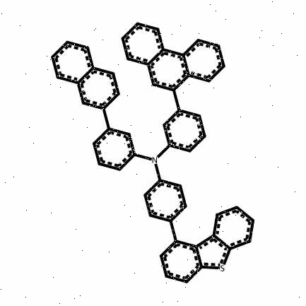 c1cc(-c2ccc3ccccc3c2)cc(N(c2ccc(-c3cccc4sc5ccccc5c34)cc2)c2cccc(-c3cc4ccccc4c4ccccc34)c2)c1